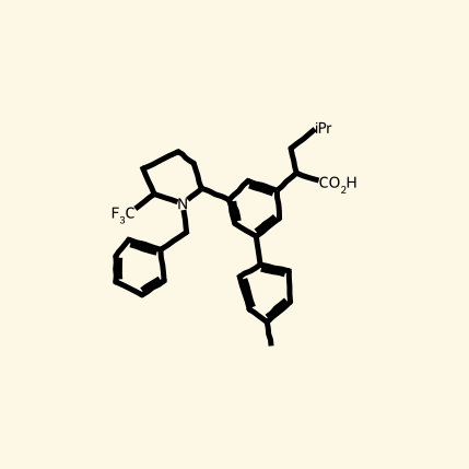 Cc1ccc(-c2cc(C(CC(C)C)C(=O)O)cc(C3CCCC(C(F)(F)F)N3Cc3ccccc3)c2)cc1